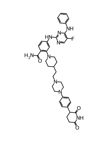 NC(=O)c1ccc(Nc2ncc(F)c(Nc3ccccc3)n2)cc1N1CCC(CCN2CCN(c3ccc(C4CCC(=O)NC4=O)cc3)CC2)CC1